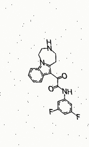 O=C(Nc1cc(F)cc(F)c1)C(=O)c1c2n(c3ccccc13)CCNCC2